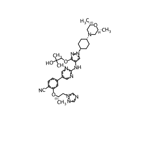 C[C@@H]1CN([C@H]2CC[C@H](n3cc(Nc4ncc(-c5ccc(C#N)c(O[C@@H](C)Cn6cncn6)c5)cn4)c(OCC(C)(C)O)n3)CC2)C[C@H](C)O1